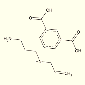 C=CCNCCCN.O=C(O)c1cccc(C(=O)O)c1